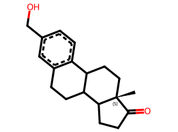 C[C@]12CCC3c4ccc(CO)cc4CCC3C1CCC2=O